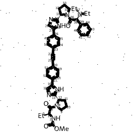 CC[C@H](NC(=O)OC)C(=O)N1CCC[C@H]1c1ncc(-c2ccc(C#Cc3ccc(-c4cnc([C@@H]5CCCN5C(=O)[C@@H](c5ccccc5)N(CC)CC)[nH]4)cc3)cc2)[nH]1